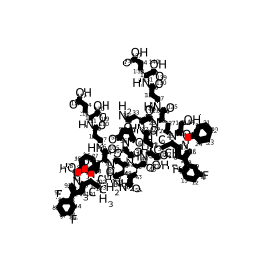 CC(C)(C)[C@H](c1cc(-c2cc(F)ccc2F)cn1Cc1ccccc1)N(CC[C@H](NC(=O)[C@H](CC(N)=O)NC(=O)CC[C@H](NC(=O)[C@H](CCC(N)=O)N(C(=O)CN1C(=O)C=CC1=O)[C@@H](CC(N)=O)C(=O)N[C@@H](CCN(C(=O)CO)[C@@H](c1cc(-c2cc(F)ccc2F)cn1Cc1ccccc1)C(C)(C)C)C(=O)NCCC(=O)N[C@H](CCC(=O)O)C(=O)O)C(=O)O)C(=O)NCCC(=O)N[C@H](CCC(=O)O)C(=O)O)C(=O)CO